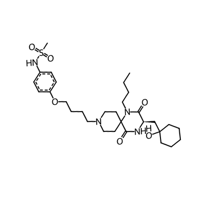 CCCCN1C(=O)[C@@H](CC2(O)CCCCC2)NC(=O)C12CCN(CCCCOc1ccc(NS(C)(=O)=O)cc1)CC2